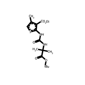 CCOC(=O)c1c(C)csc1NC(=O)NC(C)(C)C(=O)OC(C)(C)C